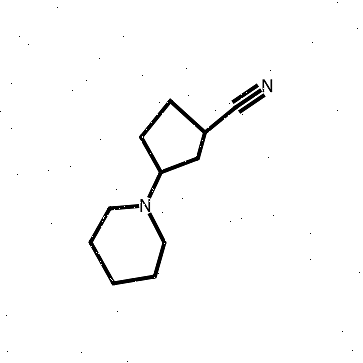 N#CC1CCC(N2CCCCC2)C1